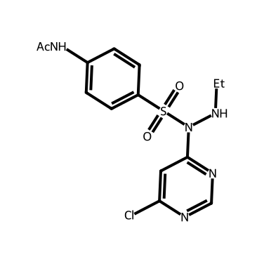 CCNN(c1cc(Cl)ncn1)S(=O)(=O)c1ccc(NC(C)=O)cc1